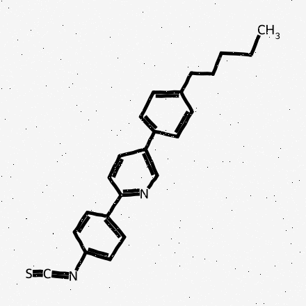 CCCCCc1ccc(-c2ccc(-c3ccc(N=C=S)cc3)nc2)cc1